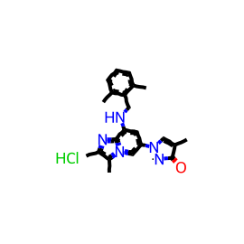 CC1=CN(c2cc(NCc3c(C)cccc3C)c3nc(C)c(C)n3c2)[N]C1=O.Cl